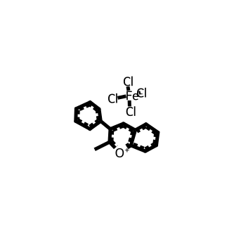 Cc1[o+]c2ccccc2cc1-c1ccccc1.[Cl][Fe-]([Cl])([Cl])[Cl]